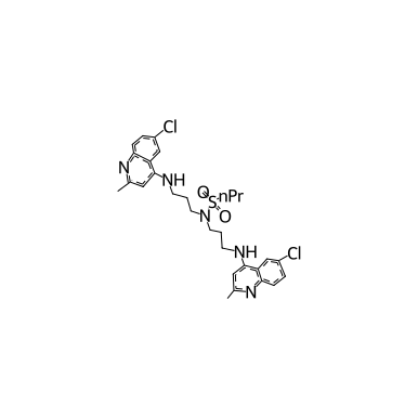 CCCS(=O)(=O)N(CCCNc1cc(C)nc2ccc(Cl)cc12)CCCNc1cc(C)nc2ccc(Cl)cc12